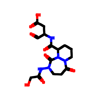 O=CC(CC(=O)O)NC(=O)C1CCCN2C(=O)CCN(NC(=O)CO)C(=O)N12